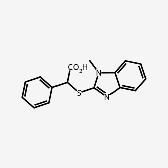 Cn1c(SC(C(=O)O)c2ccccc2)nc2ccccc21